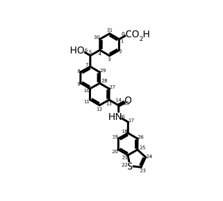 O=C(O)c1ccc(C(O)c2ccc3ccc(C(=O)NCc4ccc5sccc5c4)cc3c2)cc1